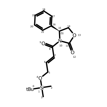 CC(C)(C)[Si](C)(C)OCC=CC(=O)N1C(=O)OC[C@@H]1c1ccccc1